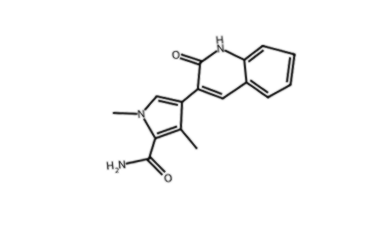 Cc1c(-c2cc3ccccc3[nH]c2=O)cn(C)c1C(N)=O